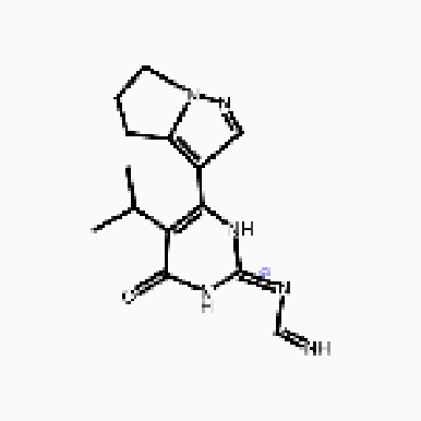 CC(C)c1c(-c2cnn3c2CCC3)[nH]/c(=N/C=N)[nH]c1=O